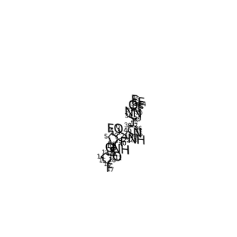 O=C(c1c(F)ccc(NS(=O)(=O)c2cccc(F)c2)c1F)c1c[nH]c2ncc(-c3cnc(OC(F)(F)F)nc3)cc12